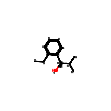 CCc1ccccc1[SiH](O)C(C)C